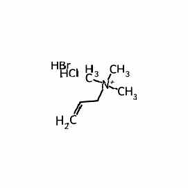 Br.C=CC[N+](C)(C)C.Cl